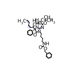 C=C(/C=C\C=C/C)[C@@]1(c2ccccc2)N/C(=N\C(=O)OC(C)(C)C)N(CCCCNC(=O)OCc2ccccc2)C1=O